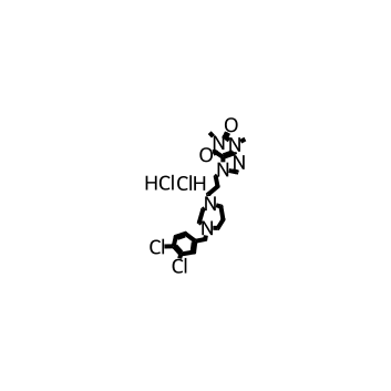 Cl.Cl.Cn1c(=O)c2c(ncn2CCCN2CCCN(Cc3ccc(Cl)c(Cl)c3)CC2)n(C)c1=O